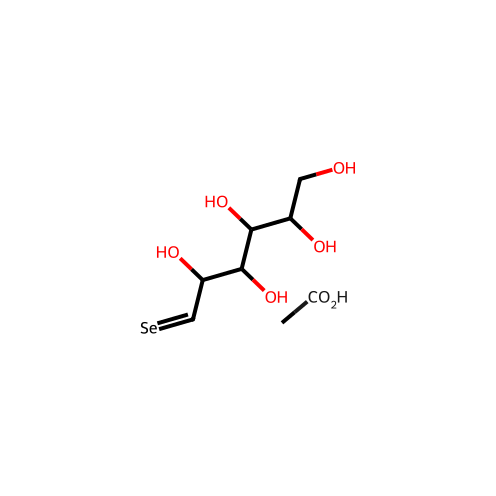 CC(=O)O.OCC(O)C(O)C(O)C(O)C=[Se]